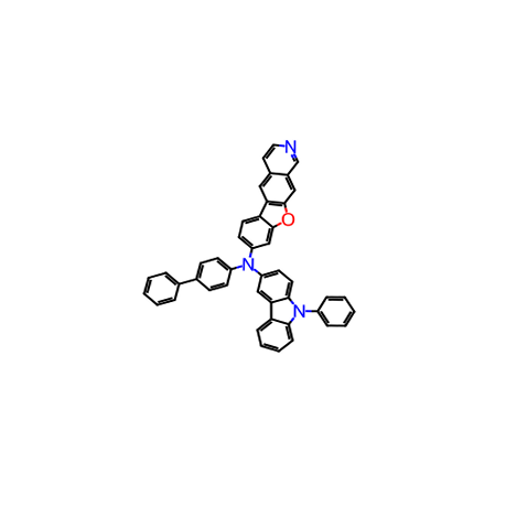 c1ccc(-c2ccc(N(c3ccc4c(c3)oc3cc5cnccc5cc34)c3ccc4c(c3)c3ccccc3n4-c3ccccc3)cc2)cc1